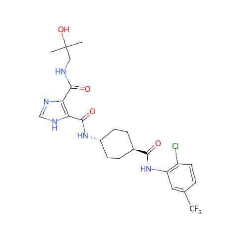 CC(C)(O)CNC(=O)c1nc[nH]c1C(=O)N[C@H]1CC[C@H](C(=O)Nc2cc(C(F)(F)F)ccc2Cl)CC1